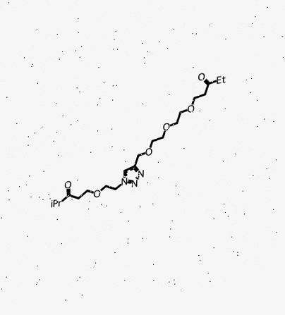 CCC(=O)CCOCCOCCOCc1cn(CCOCCC(=O)C(C)C)nn1